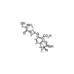 N[C@H](CO)C(=O)N1CC(Oc2ccc3c(c2C(=O)O)OB(O)[C@@H]2CC32)C1